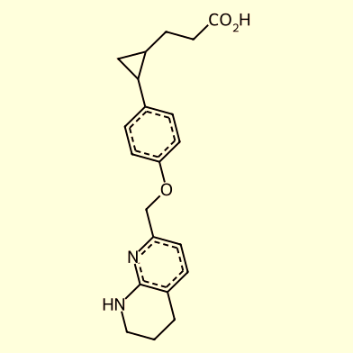 O=C(O)CCC1CC1c1ccc(OCc2ccc3c(n2)NCCC3)cc1